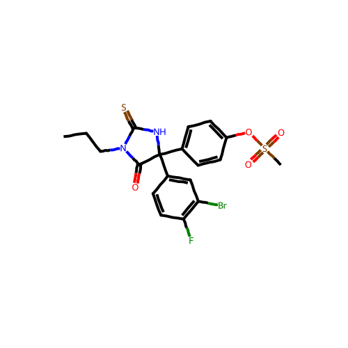 CCCN1C(=O)C(c2ccc(OS(C)(=O)=O)cc2)(c2ccc(F)c(Br)c2)NC1=S